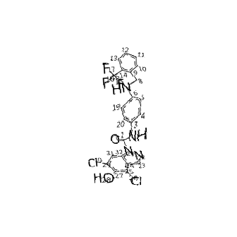 O=C(Nc1ccc(NCc2ccccc2C(F)(F)F)cc1)n1ncc2c(Cl)c(O)c(Cl)cc21